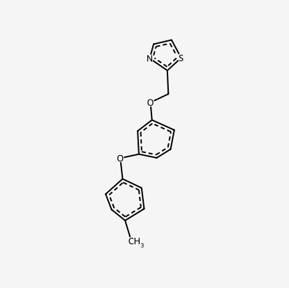 Cc1ccc(Oc2cccc(OCc3nccs3)c2)cc1